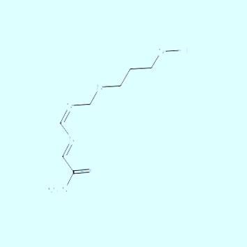 CNC(=O)/C=N/C=N\CNCCCNC=O